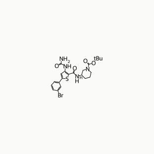 CC(C)(C)OC(=O)N1CCC[C@@H](NC(=O)c2sc(-c3cccc(Br)c3)cc2NC(N)=O)C1